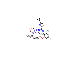 COC(=O)C1=C(CN2CCOC[C@H]2C(=O)O)NC(c2nc(C3CC3)cs2)=N[C@H]1c1ccc(F)cc1Cl